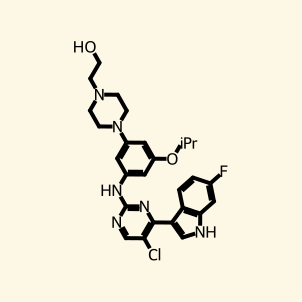 CC(C)Oc1cc(Nc2ncc(Cl)c(-c3c[nH]c4cc(F)ccc34)n2)cc(N2CCN(CCO)CC2)c1